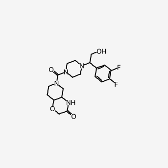 O=C1COC2CCN(C(=O)N3CCN(C(CO)c4ccc(F)c(F)c4)CC3)CC2N1